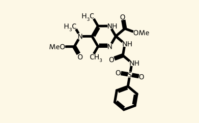 COC(=O)N(C)C1=C(C)NC(NC(=O)NS(=O)(=O)c2ccccc2)(C(=O)OC)N=C1C